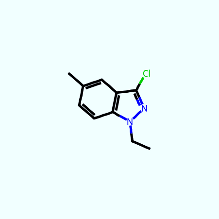 CCn1nc(Cl)c2cc(C)ccc21